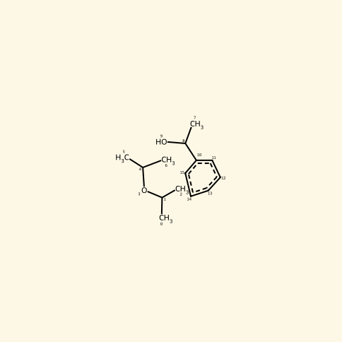 CC(C)OC(C)C.CC(O)c1ccccc1